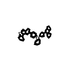 c1ccc(N(c2ccc(-c3ccc4ccc5sc6ccccc6c5c4c3)cc2)c2ccc(-c3cc4ccccc4c4ccccc34)cc2)cc1